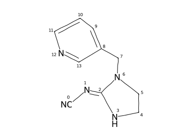 N#CN=C1NCCN1Cc1cccnc1